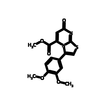 COC(=O)c1cc(=O)nc2scc(-c3ccc(OC)c(OC)c3)n12